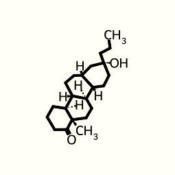 CCC[C@@]1(O)CC[C@H]2[C@H](CC[C@@H]3[C@@H]2CC[C@]2(C)C(=O)CCC[C@@H]32)C1